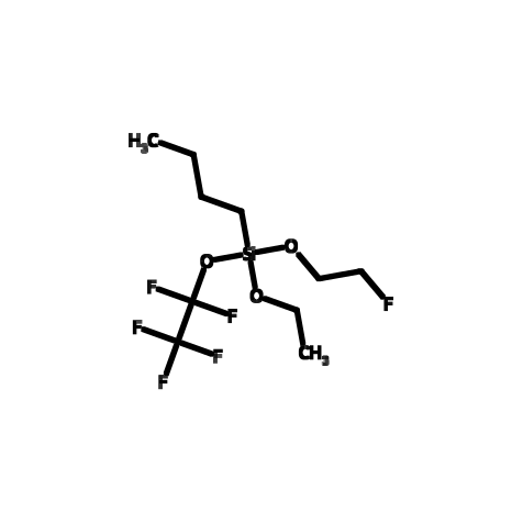 CCCC[Si](OCC)(OCCF)OC(F)(F)C(F)(F)F